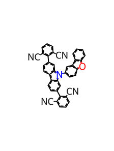 N#Cc1cccc(C#N)c1-c1ccc2c3ccc(-c4c(C#N)cccc4C#N)cc3n(-c3ccc4oc5ccccc5c4c3)c2c1